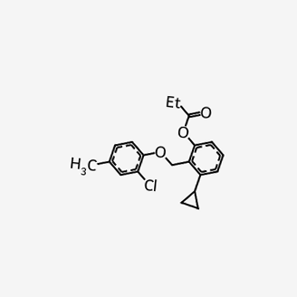 CCC(=O)Oc1cccc(C2CC2)c1COc1ccc(C)cc1Cl